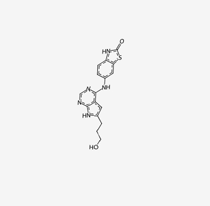 O=c1[nH]c2ccc(Nc3ncnc4[nH]c(CCCO)cc34)cc2s1